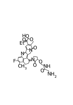 CC[C@@]1(O)C(=O)OCc2c1cc1n(c2=O)Cc2c-1nc1cc(F)c(C)c3c1c2[C@@H](N1CCC(OCNC(=O)CN)C1=O)CC3